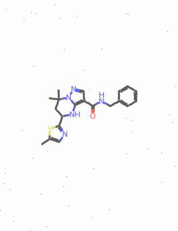 Cc1cnc(C2CC(C)(C)n3ncc(C(=O)NCc4ccccc4)c3N2)s1